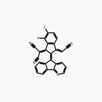 N#C/C=C1/C(=C2/c3ccccc3-c3ncccc32)C(=C(C#N)C#N)c2c1ccc(F)c2F